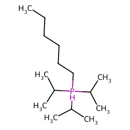 CCCCCC[PH](C(C)C)(C(C)C)C(C)C